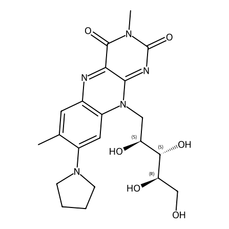 Cc1cc2nc3c(=O)n(C)c(=O)nc-3n(C[C@H](O)[C@H](O)[C@H](O)CO)c2cc1N1CCCC1